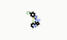 Fc1cccnc1C1(CNc2nc3ccc(Cl)cc3s2)CCC1